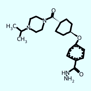 CC(C)N1CCN(C(=O)[C@H]2CC[C@H](Oc3ccc(C(=O)NN)cc3)CC2)CC1